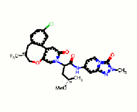 CO[C@@H](C)CC(C(=O)Nc1ccn2c(=O)n(C)nc2c1)n1cc2c(cc1=O)-c1cc(Cl)ccc1C[C@@H](C(F)(F)F)CO2